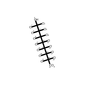 OC(Cl)(Cl)C(Cl)(Cl)C(Cl)(Cl)C(Cl)(Cl)C(Cl)(Cl)C(Cl)(Cl)C(Cl)(Cl)C(Cl)(Cl)Cl